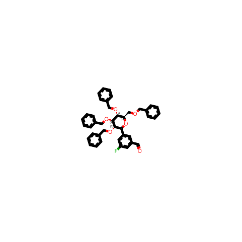 O=Cc1cc(F)cc(C2O[C@H](COCc3ccccc3)[C@@H](OCc3ccccc3)[C@H](OCc3ccccc3)[C@H]2OCc2ccccc2)c1